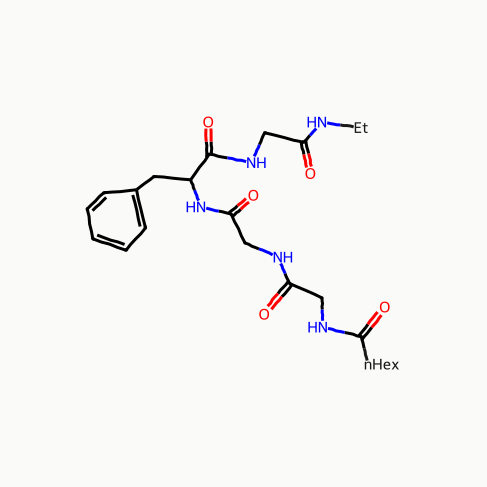 CCCCCCC(=O)NCC(=O)NCC(=O)NC(Cc1ccccc1)C(=O)NCC(=O)NCC